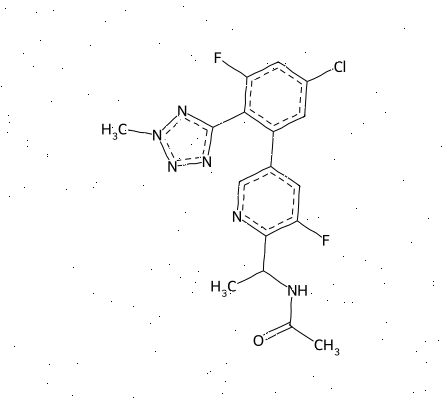 CC(=O)NC(C)c1ncc(-c2cc(Cl)cc(F)c2-c2nnn(C)n2)cc1F